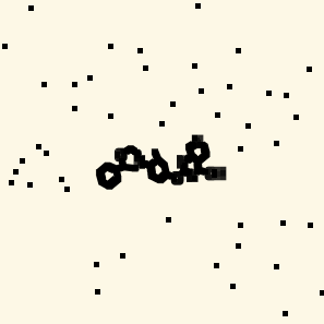 CC1CC(Oc2nc(O)c3ccncc3n2)=CC=C1N1CCOC(c2ccccc2)C1